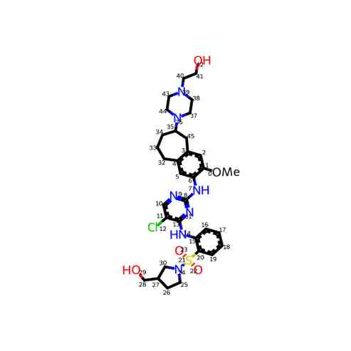 COc1cc2c(cc1Nc1ncc(Cl)c(Nc3ccccc3S(=O)(=O)N3CCC(CO)C3)n1)CCCC(N1CCN(CCO)CC1)C2